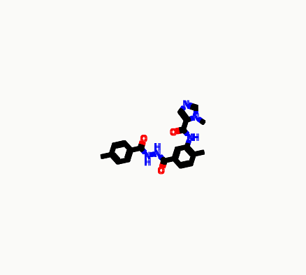 Cc1ccc(C(=O)NNC(=O)c2ccc(C)c(NC(=O)c3cncn3C)c2)cc1